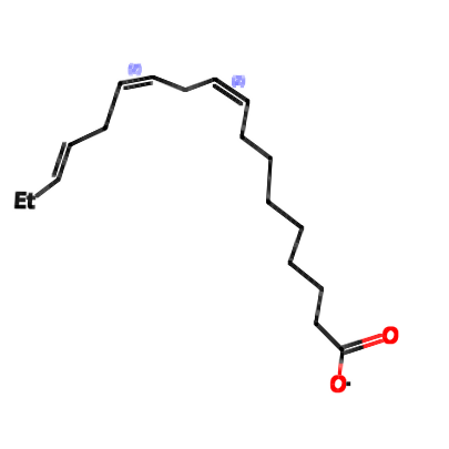 CCC=CC/C=C\C/C=C\CCCCCCCC([O])=O